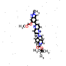 COCOc1cc2nn(C)cc2cc1-c1ccc2nc(N3CC[C@]45CCN(C(=O)OC(C)(C)C)[C@H]4CC[C@H]35)ccc2n1